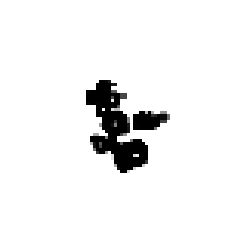 COC(=C1C2CC3CC(C2)CC1C3)c1cccc(OP(=O)([O-])[O-])c1.[Na+].[Na+]